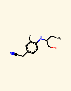 CCC(CO)Nc1ccc(CC#N)cc1C